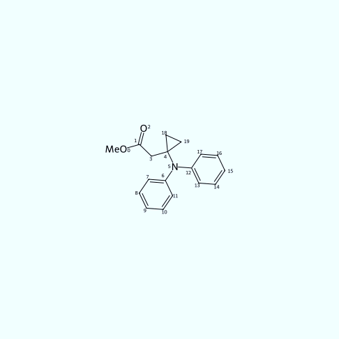 COC(=O)CC1(N(c2ccccc2)c2ccccc2)CC1